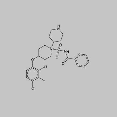 Cc1c(Cl)ccc(OC2CC[N+](C3CCNCC3)(S(=O)(=O)NC(=O)c3ccccc3)CC2)c1Cl